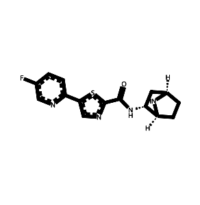 O=C(N[C@@H]1C[C@H]2CC[C@@H]1N2)c1ncc(-c2ccc(F)cn2)s1